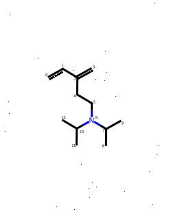 C=CC(=C)CCN(C(C)C)C(C)C